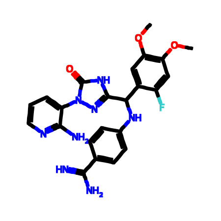 COc1cc(F)c(C(Nc2ccc(C(=N)N)cc2)c2nn(-c3cccnc3N)c(=O)[nH]2)cc1OC